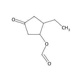 CCC1CC(=O)CC1OC=O